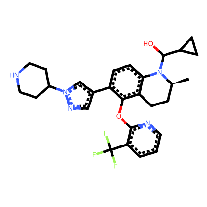 C[C@H]1CCc2c(ccc(-c3cnn(C4CCNCC4)c3)c2Oc2ncccc2C(F)(F)F)N1C(O)C1CC1